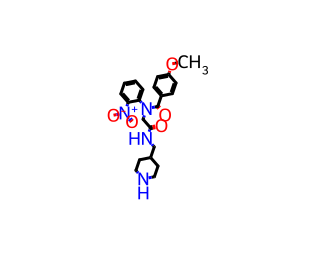 COc1ccc(C(=O)N(CC(=O)NCC2CCNCC2)c2ccccc2[N+](=O)[O-])cc1